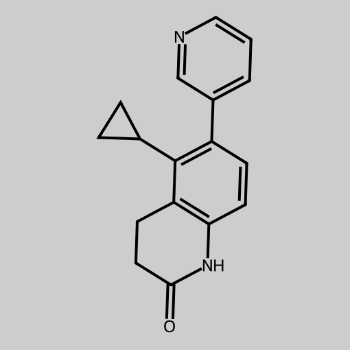 O=C1CCc2c(ccc(-c3cccnc3)c2C2CC2)N1